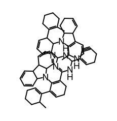 CC1=C(C2C=CC=C(C3N=C(C4=C(N5C6C=CC=CC6C6C=CN=CC65)C(C5=CCCCC5C)=CCC4)NC(C4=CCCC#C4)N3)C2N2C3=C(C=CNC3C)C3C=CCCC32)CCCC1